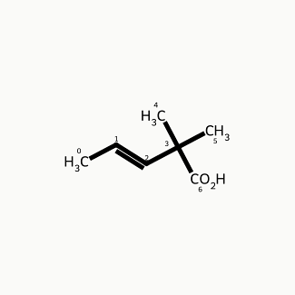 CC=CC(C)(C)C(=O)O